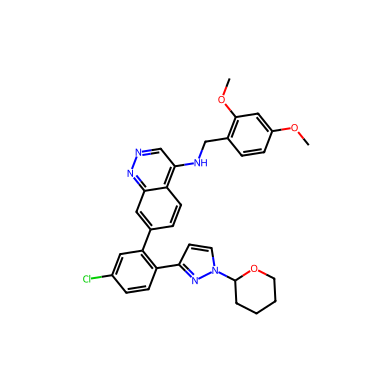 COc1ccc(CNc2cnnc3cc(-c4cc(Cl)ccc4-c4ccn(C5CCCCO5)n4)ccc23)c(OC)c1